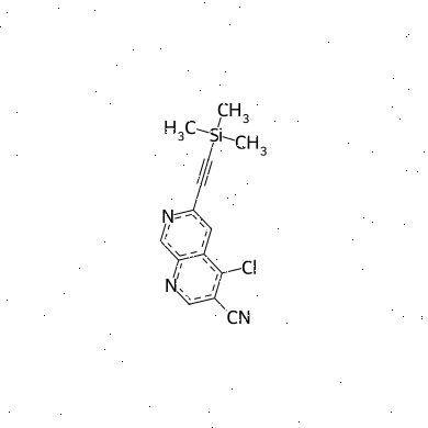 C[Si](C)(C)C#Cc1cc2c(Cl)c(C#N)cnc2cn1